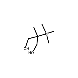 CC(CO)(CO)[N+](C)(C)C